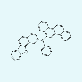 c1ccc(N(c2ccc3ccc4c5ccccc5oc4c3c2)c2cc3c4ccccc4ccc3c3ccccc23)cc1